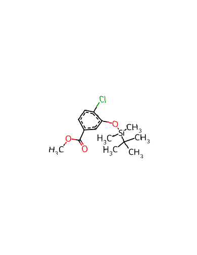 COC(=O)c1ccc(Cl)c(O[Si](C)(C)C(C)(C)C)c1